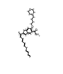 C=C/C=C/C/C=C/C=C/C=C(/C)c1cc2cc(C(N)=O)c(OCCCCN3CCOCC3)cc2s1